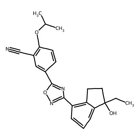 CCC1(O)CCc2c(-c3noc(-c4ccc(OC(C)C)c(C#N)c4)n3)cccc21